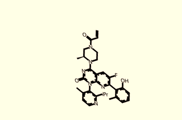 C=CC(=O)N1CCN(c2nc(=O)n(-c3c(C)ccnc3C(C)C)c3nc(-c4c(C)cccc4O)c(F)cc23)[C@@H](C)C1